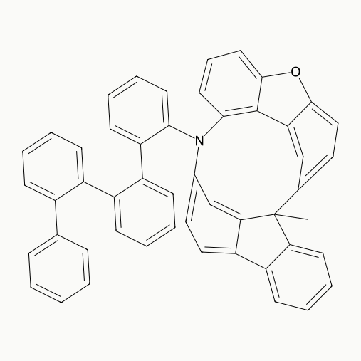 CC12c3ccc4oc5cccc(c5c4c3)N(c3ccccc3-c3ccccc3-c3ccccc3-c3ccccc3)c3ccc(c1c3)-c1ccccc12